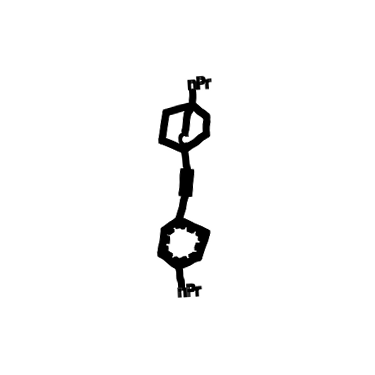 CCCc1ccc(C#CC23CCC(CCC)(CC2)CC3)cc1